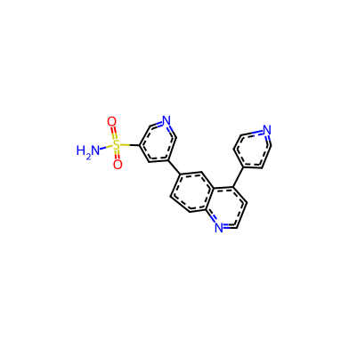 NS(=O)(=O)c1cncc(-c2ccc3nccc(-c4ccncc4)c3c2)c1